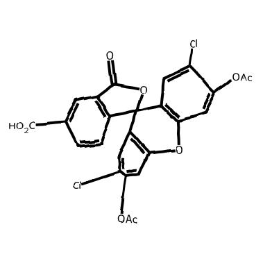 CC(=O)Oc1cc2c(cc1Cl)C1(OC(=O)c3cc(C(=O)O)ccc31)c1cc(Cl)c(OC(C)=O)cc1O2